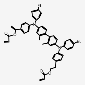 C=CC(=O)OCCc1ccc(N(c2ccc(CC)cc2)c2ccc(-c3ccc(N(c4ccc(CC)cc4)c4ccc(C(=C)OC(=O)C=C)cc4)cc3C)c(C)c2)cc1